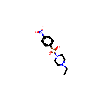 [CH2]CN1CCN(S(=O)(=O)c2ccc([N+](=O)[O-])cc2)CC1